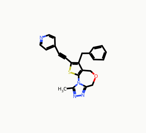 Cc1nnc2n1-c1sc(C#Cc3ccncc3)c(Cc3ccccc3)c1COC2